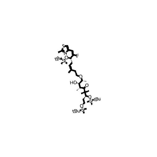 C/C(=C/C[C@H](O[Si](C)(C)C(C)(C)C)/C(F)=C\c1csc(C)n1)CCO[C@H](C)[C@@H](O)[C@@H](C)C(=O)C(C)(C)[C@H](CCO[Si](C)(C)C(C)(C)C)O[Si](C)(C)C(C)(C)C